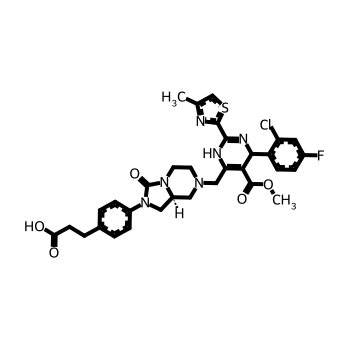 COC(=O)C1=C(CN2CCN3C(=O)N(c4ccc(CCC(=O)O)cc4)C[C@@H]3C2)NC(c2nc(C)cs2)=NC1c1ccc(F)cc1Cl